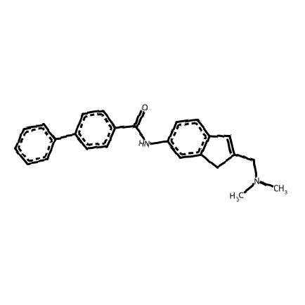 CN(C)CC1=Cc2ccc(NC(=O)c3ccc(-c4ccccc4)cc3)cc2C1